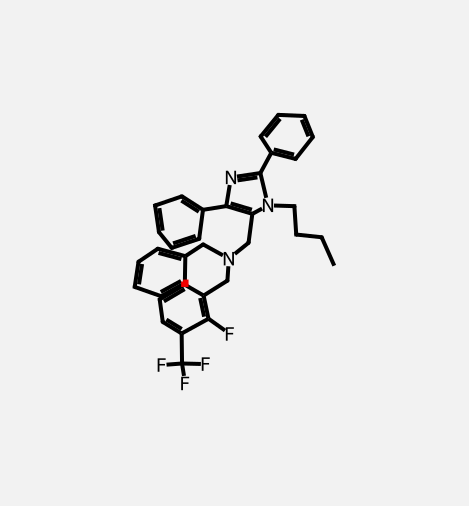 CCCCn1c(-c2ccccc2)nc(-c2ccccc2)c1CN(Cc1ccccc1)Cc1cccc(C(F)(F)F)c1F